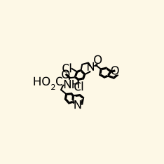 O=C(NC(Cc1ccc2ncccc2c1)C(=O)O)c1c(Cl)cc2c(c1Cl)CCN(C(=O)c1ccc3ccoc3c1)C2